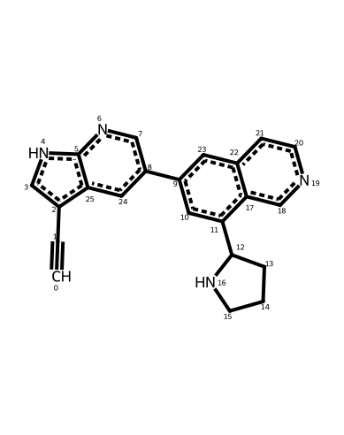 C#Cc1c[nH]c2ncc(-c3cc(C4CCCN4)c4cnccc4c3)cc12